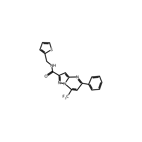 O=C(NCc1cccs1)c1cc2nc(-c3ccccc3)cc(C(F)(F)F)n2n1